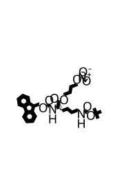 CC(C)(C)OC(=O)NCCCC[C@H](NC(=O)OCC1c2ccccc2-c2ccccc21)C(=O)OCCCCO[N+](=O)[O-]